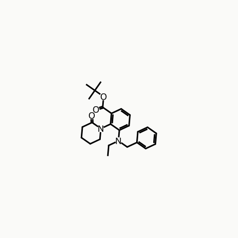 CCN(Cc1ccccc1)c1cccc(C(=O)OC(C)(C)C)c1N1CCCCC1=O